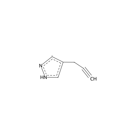 C#CCc1[c]n[nH]c1